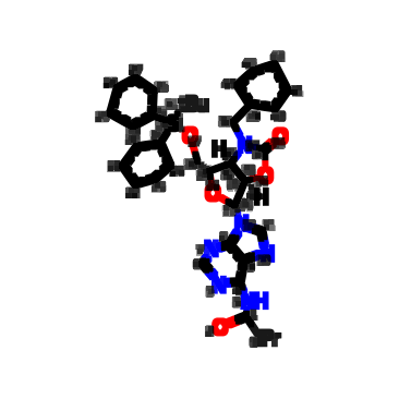 CC(C)C(=O)Nc1ncnc2c1ncn2[C@@H]1O[C@H](CO[Si](c2ccccc2)(c2ccccc2)C(C)(C)C)[C@@H]2[C@H]1OC(=O)N2Cc1ccccc1